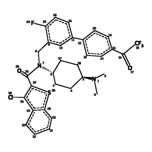 CN(C)[C@H]1CC[C@H](N(Cc2cc(-c3ccc(C(=O)C(F)(F)F)cc3)ccc2F)C(=O)c2sc3ccccc3c2Cl)CC1